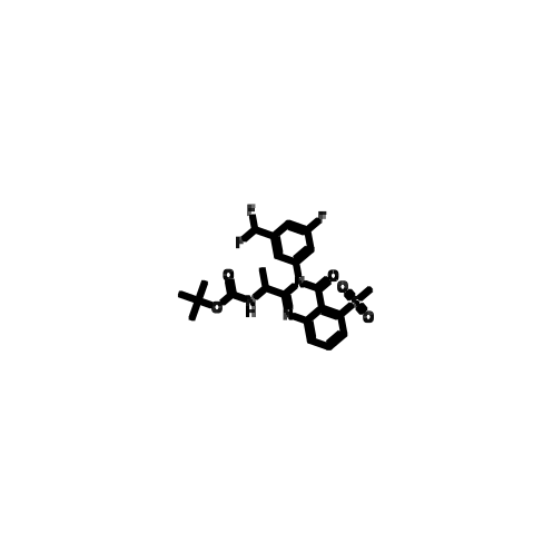 CC(NC(=O)OC(C)(C)C)c1nc2cccc(S(C)(=O)=O)c2c(=O)n1-c1cc(F)cc(C(F)F)c1